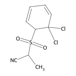 CC(C#N)S(=O)(=O)C1C=CC=CC1(Cl)Cl